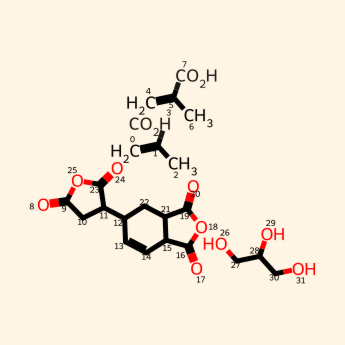 C=C(C)C(=O)O.C=C(C)C(=O)O.O=C1CC(C2C=CC3C(=O)OC(=O)C3C2)C(=O)O1.OCC(O)CO